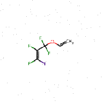 C=COC(F)(F)C(F)=C(F)I